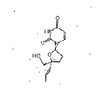 C/C=C/[C@@]1(CO)CCC(n2ccc(=O)[nH]c2=O)O1